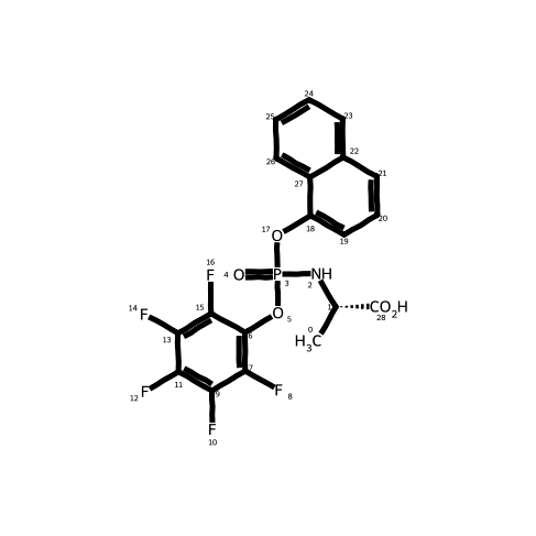 C[C@H](NP(=O)(Oc1c(F)c(F)c(F)c(F)c1F)Oc1cccc2ccccc12)C(=O)O